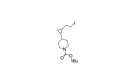 CC(C)(C)OC(=O)N1CCC(C2CC2CCI)CC1